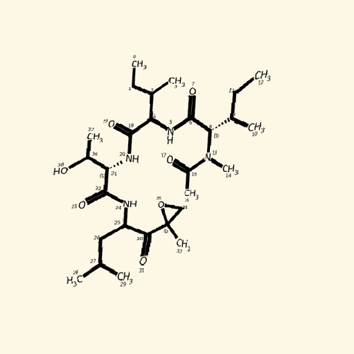 CCC(C)C(NC(=O)[C@H](C(C)CC)N(C)C(C)=O)C(=O)N[C@H](C(=O)NC(CC(C)C)C(=O)C1(C)CO1)C(C)O